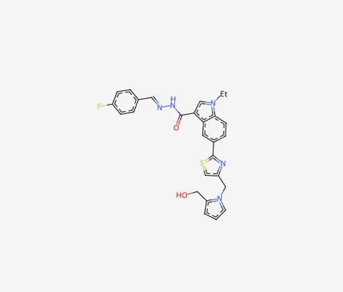 CCn1cc(C(=O)NN=Cc2ccc(F)cc2)c2cc(-c3nc(Cn4cccc4CO)cs3)ccc21